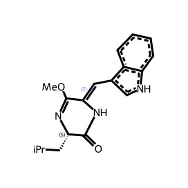 COC1=N[C@@H](CC(C)C)C(=O)N/C1=C\c1c[nH]c2ccccc12